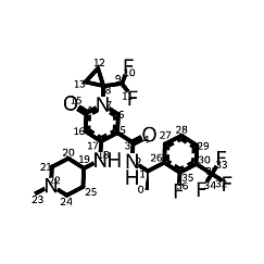 C[C@@H](NC(=O)c1cn(C2(C(F)F)CC2)c(=O)cc1NC1CCN(C)CC1)c1cccc(C(F)(F)F)c1F